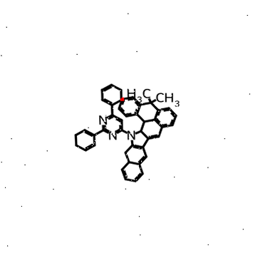 CC1(C)c2ccccc2C2c3c(cccc31)C=C1C3=C(CC4C=CC=CC4=C3)N(c3cc(C4=CC=CCC4)nc(C4=CCCC=C4)n3)C12